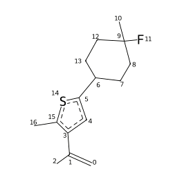 C=C(C)c1cc(C2CCC(C)(F)CC2)sc1C